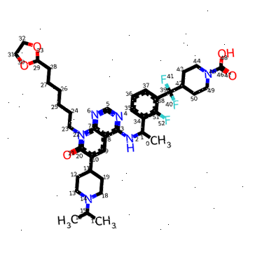 CC(Nc1ncnc2c1cc(C1CCN(C(C)C)CC1)c(=O)n2CCCCCCC1OCCO1)c1cccc(C(F)(F)C2CCN(C(=O)O)CC2)c1F